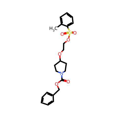 Cc1ccccc1S(=O)(=O)OCCOC1CCN(C(=O)OCc2ccccc2)CC1